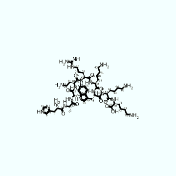 C[C@H](NC(=O)[C@@H](N)Cc1c[nH]cn1)C(=O)NCC(=O)N[C@@H](CCN)C(=O)N[C@@H](CCCNC(=N)N)C(=O)N[C@@H](CCCCN)C(=O)N[C@@H](Cc1c[nH]c2ccccc12)C(=O)N[C@@H](CCCCN)C(=O)N[C@@H](CCCCN)C(=O)O